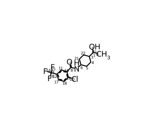 C[C@H](O)C1CCC(NC(=O)c2cc(C(F)(F)F)ccc2Cl)CC1